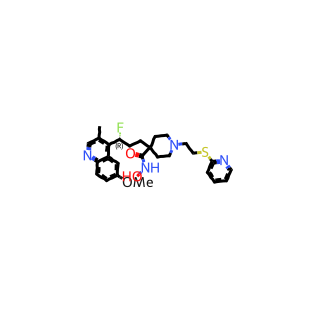 COc1ccc2ncc(C)c([C@H](F)CCC3(C(=O)NO)CCN(CCSc4ccccn4)CC3)c2c1